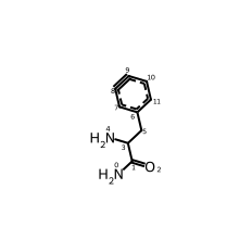 NC(=O)C(N)Cc1cc#ccc1